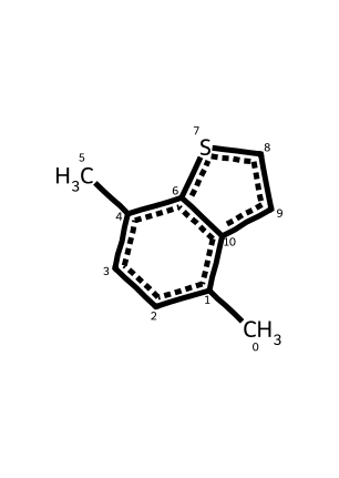 Cc1ccc(C)c2sccc12